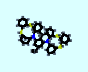 Cc1cc2c3c(c1)N1c4cccc(c4)Sc4ccccc4Sc4cccc(c41)B3c1cccc3c1N2c1cccc(c1)Sc1ccccc1S3